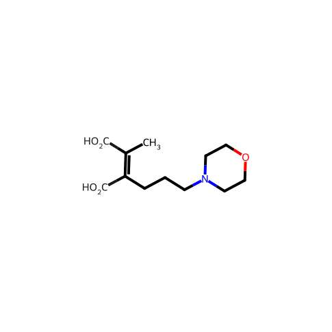 CC(C(=O)O)=C(CCCN1CCOCC1)C(=O)O